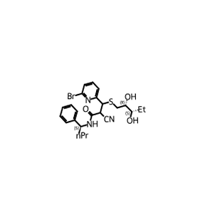 CCC[C@H](NC(=O)C(C#N)C(SC[C@H](O)[C@@H](O)CC)c1cccc(Br)n1)c1ccccc1